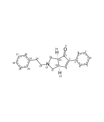 O=C1C(c2ccccc2)=C[C@H]2CN(CCc3ccccc3)C[C@@H]12